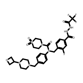 O=C(NNC(=O)C(F)(F)F)c1ccc(CN(C(=O)N2CCS(=O)(=O)CC2)c2ccc(CN3CCN(C4COC4)CC3)cc2)c(F)c1